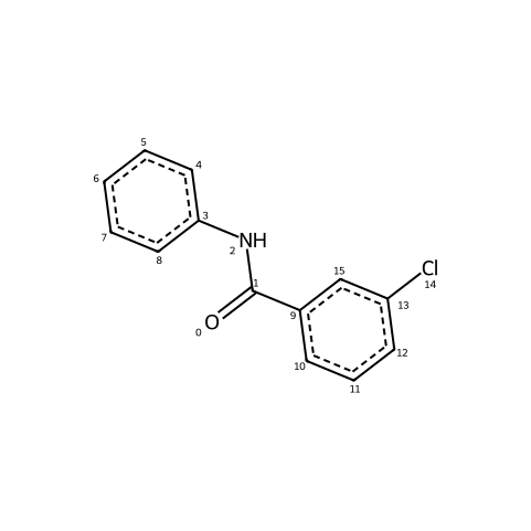 O=C(Nc1ccccc1)c1cccc(Cl)c1